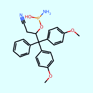 COc1ccc(C(c2ccccc2)(c2ccc(OC)cc2)C(CC#N)OP(N)O)cc1